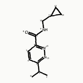 CC(C)c1ccc(C(=O)NCC2CC2)nn1